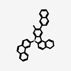 Cc1cc2c(cc1-c1ccc3ccccc3c1)c1c3c(ccc1n2-c1ccc2ccc4ccccc4c2c1)CCC=C3